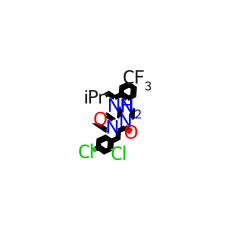 CC(C)CC(N)c1cc(C(F)(F)F)ccc1N1CCN(C(=O)C(Cc2ccc(Cl)cc2Cl)N2CCOCC2)CC1